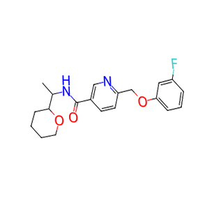 CC(NC(=O)c1ccc(COc2cccc(F)c2)nc1)C1CCCCO1